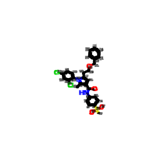 Cc1c(C(=O)Nc2ccc(S(C)(=O)=O)cc2)cc(CCOCc2ccccc2)n1-c1ccc(Cl)cc1Cl